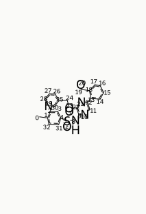 Cc1ccc(S(=O)(=O)Nc2ncc(-c3ccccc3C=O)nc2OCc2cccnc2)cc1